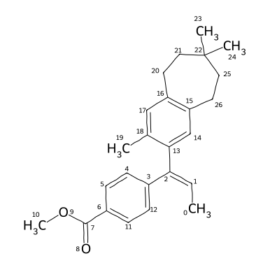 C/C=C(\c1ccc(C(=O)OC)cc1)c1cc2c(cc1C)CCC(C)(C)CC2